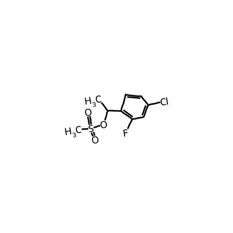 CC(OS(C)(=O)=O)c1ccc(Cl)cc1F